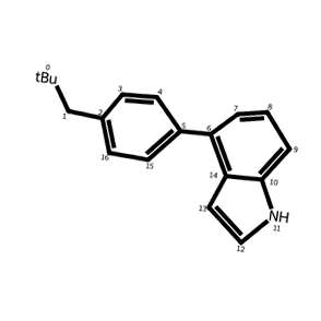 CC(C)(C)Cc1ccc(-c2cccc3[nH]ccc23)cc1